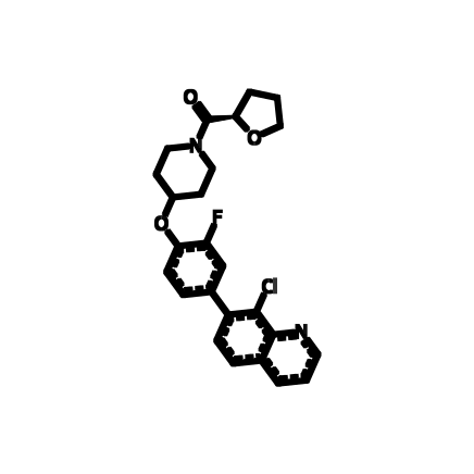 O=C([C@H]1CCCO1)N1CCC(Oc2ccc(-c3ccc4cccnc4c3Cl)cc2F)CC1